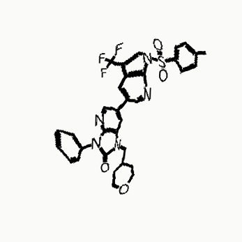 Cc1ccc(S(=O)(=O)n2cc(C(F)(F)F)c3cc(-c4cnc5c(c4)n(CC4CCOCC4)c(=O)n5-c4ccccc4)cnc32)cc1